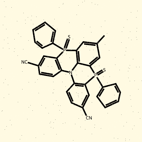 Cc1cc2c3c(c1)P(=S)(c1ccccc1)c1cc(C#N)ccc1N3c1ccc(C#N)cc1P2(=S)c1ccccc1